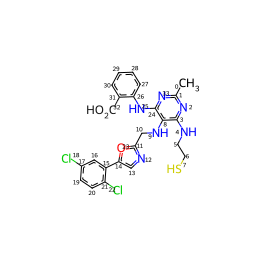 Cc1nc(NCCS)c(NCc2ncc(-c3cc(Cl)ccc3Cl)o2)c(Nc2ccccc2C(=O)O)n1